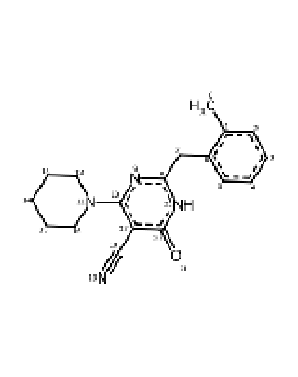 Cc1ccccc1Cc1nc(N2CCCCC2)c(C#N)c(=O)[nH]1